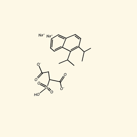 CC(C)c1ccc2ccccc2c1C(C)C.O=C([O-])CC(C(=O)[O-])S(=O)(=O)O.[Na+].[Na+]